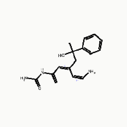 C=C(/C=C(\C=C/N)CC(C)(O)c1ccccc1)NC(N)=O